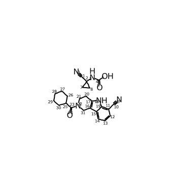 N#CC1(NC(=O)O)CC1.N#Cc1cccc2c3c([nH]c12)CCN(C(=O)C1CCCCC1)C3